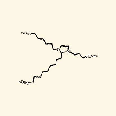 CCCCCCCCCCCCCCCCCCCC1N(CCCCCCCCCCCCC)C=CN1CCCCCCCCCCCCCCCC